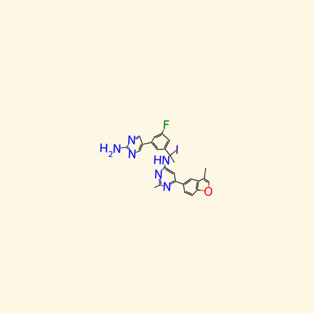 Cc1nc(NC(C)(I)c2cc(F)cc(-c3cnc(N)nc3)c2)cc(-c2ccc3occ(C)c3c2)n1